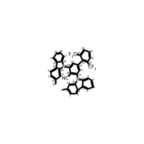 Cc1ccc2c3ccccc3n(-c3cc(-c4c(C(F)(F)F)cccc4C(F)(F)F)cc(-n4c5ccccc5c5ccc(C)cc54)c3C#N)c2c1